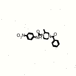 CC1CN(C(=O)c2ccccc2)CCN1C(=O)Nc1ccc([N+](=O)[O-])cc1